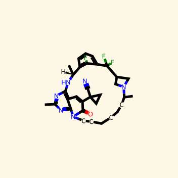 Cc1nc2c3cc(C4(C#N)CC4)c(=O)n(c3n1)CCCCCCC(C)N1CC(C1)C(F)(F)c1cccc(c1F)[C@@H](C)N2